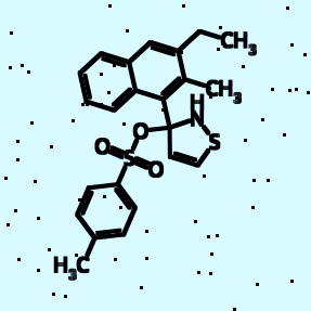 CCc1cc2ccccc2c(C2(OS(=O)(=O)c3ccc(C)cc3)C=CSN2)c1C